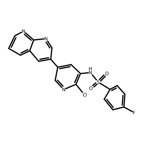 O=S(=O)(Nc1cc(-c2cnc3ncccc3c2)cnc1Cl)c1ccc(F)cc1